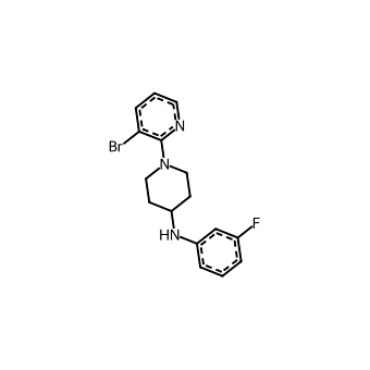 Fc1cccc(NC2CCN(c3ncccc3Br)CC2)c1